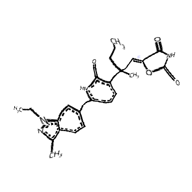 CCn1nc(C)c2ccc(-c3ccc(C(C)(/C=C4\OC(=O)NC4=O)CC)c(=O)[nH]3)cc21